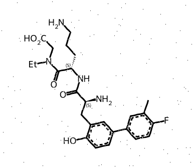 CCN(CC(=O)O)C(=O)[C@H](CCCN)NC(=O)[C@@H](N)Cc1cc(-c2ccc(F)c(C)c2)ccc1O